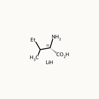 CCC(C)[C@H](N)C(=O)O.[LiH]